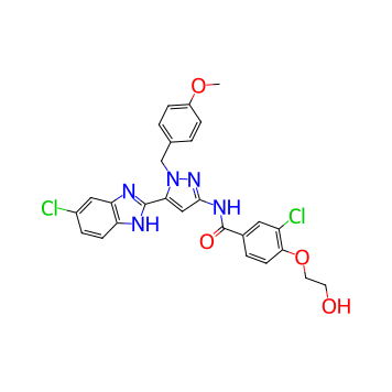 COc1ccc(Cn2nc(NC(=O)c3ccc(OCCO)c(Cl)c3)cc2-c2nc3cc(Cl)ccc3[nH]2)cc1